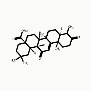 COC(=O)[C@]12CCC(C)(C)C[C@H]1[C@H]1C(=O)C=C3[C@@]4(C)CCC(=O)C(C)[C@@H]4CC[C@@]3(C)[C@]1(C)CC2